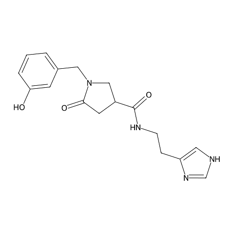 O=C(NCCc1c[nH]cn1)C1CC(=O)N(Cc2cccc(O)c2)C1